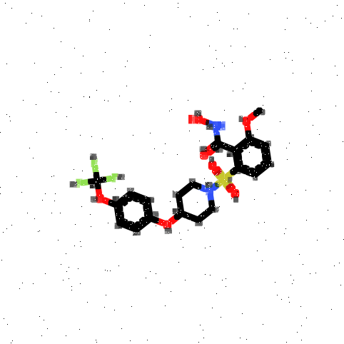 COc1cccc(S(=O)(=O)N2CCC(Oc3ccc(OC(F)(F)F)cc3)CC2)c1C(=O)NO